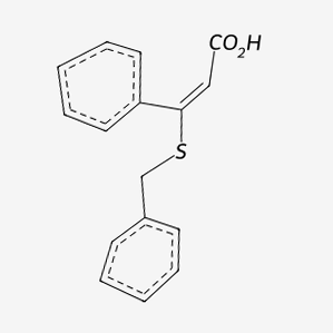 O=C(O)C=C(SCc1ccccc1)c1ccccc1